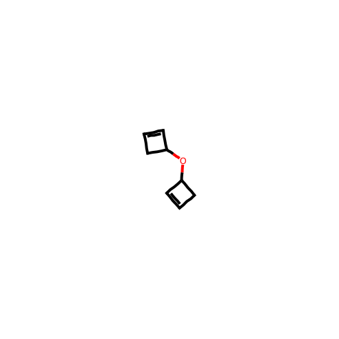 C1=CC(OC2C=CC2)C1